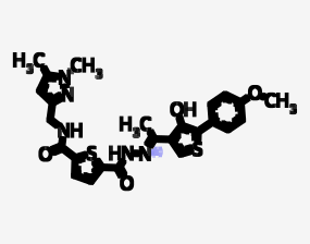 COc1ccc(-c2scc(/C(C)=N/NC(=O)c3ccc(C(=O)NCc4cc(C)n(C)n4)s3)c2O)cc1